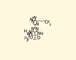 Nc1nc(-c2cn3ncnc3c(CCCC(F)(F)F)n2)nc2c1C(c1nnc(C3(F)CC3)o1)(C1CC1)C(=O)N2